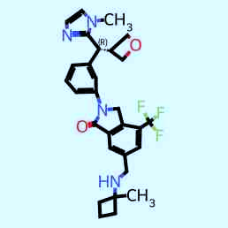 Cn1ccnc1[C@@H](c1cccc(N2Cc3c(cc(CNC4(C)CCC4)cc3C(F)(F)F)C2=O)c1)C1COC1